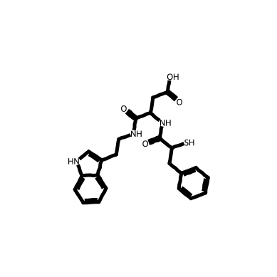 O=C(O)CC(NC(=O)C(S)Cc1ccccc1)C(=O)NCCc1c[nH]c2ccccc12